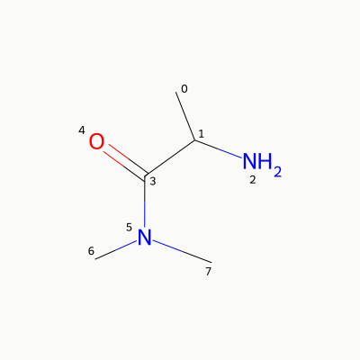 CC(N)C(=O)N(C)C